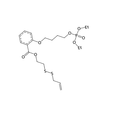 C=CCSSCCOC(=O)c1ccccc1OCCCCOP(=O)(OCC)OCC